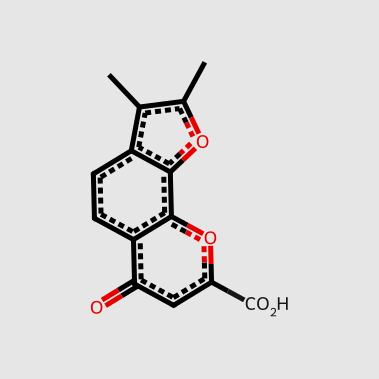 Cc1oc2c(ccc3c(=O)cc(C(=O)O)oc32)c1C